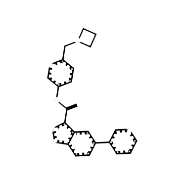 O=C(Nc1ccc(CN2CCC2)nc1)c1n[nH]c2ccc(-c3cccnc3)cc12